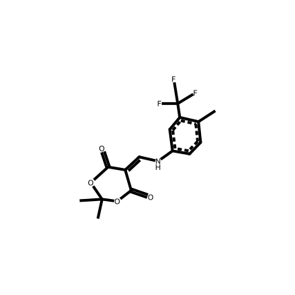 Cc1ccc(NC=C2C(=O)OC(C)(C)OC2=O)cc1C(F)(F)F